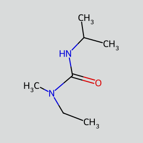 CCN(C)C(=O)NC(C)C